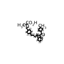 Cc1ccc(C(=O)c2nn(CC=Cc3ccc(CO[C@H](C)C(=O)O)cc3)c3cccnc23)cc1